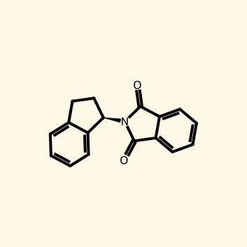 O=C1c2ccccc2C(=O)N1[C@@H]1CCc2ccccc21